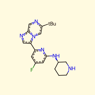 CC(C)(C)c1cn2c(-c3cc(F)cc(N[C@@H]4CCCNC4)n3)cnc2cn1